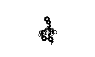 CN(C[C@H](O)CNC(C)(C)CC1Cc2ccccc2C1)S(=O)(=O)c1cccc(-c2cc(F)ccc2CCOC(=O)O)c1